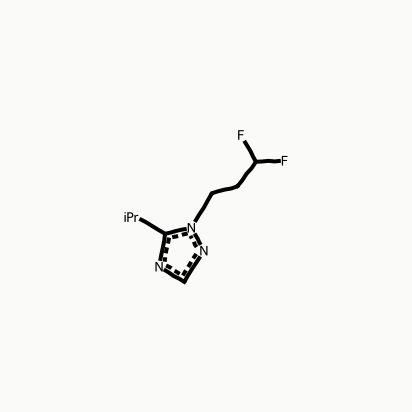 CC(C)c1ncnn1CCC(F)F